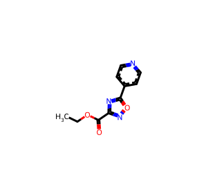 CCOC(=O)c1noc(-c2ccncc2)n1